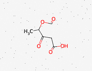 CC(OC=O)C(=O)CC(=O)O